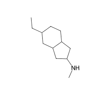 CCC1CCC2CC(NC)CC2C1